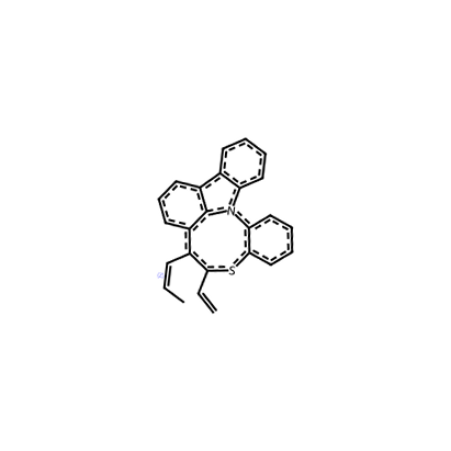 C=Cc1sc2ccccc2n2c3ccccc3c3cccc(c1/C=C\C)c32